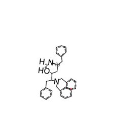 N[C@@H](Cc1ccccc1)CC(O)C(Cc1ccccc1)N(Cc1ccccc1)Cc1ccccc1